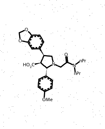 CCCN(CCC)C(=O)CN1C[C@H](c2ccc3c(c2)OCO3)[C@H](C(=O)O)[C@H]1c1ccc(OC)cc1